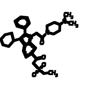 CCS(=O)(=O)CC(=O)c1ccc2c(C3CCCCC3)c(-c3ccccc3)n(CC(=O)N3CCC(N(C)C)CC3)c2c1